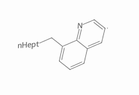 CCCCCCCCc1cccc2c[c]cnc12